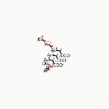 CC(=O)CC(=O)[O-].CC(=O)CC(=O)[O-].CC(=O)CC(=O)[O-].CCC(C)[O-].CCC(C)[O-].CCC(C)[O-].[Al+3].[Al+3]